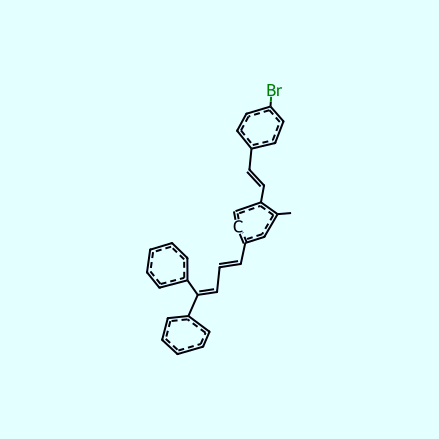 Cc1cc(C=CC=C(c2ccccc2)c2ccccc2)ccc1C=Cc1ccc(Br)cc1